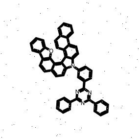 c1ccc(-c2nc(-c3ccccc3)nc(-c3cccc(-n4c5ccc6c7ccccc7ccc6c5c5c6c(ccc7c8ccccc8oc76)ccc54)c3)n2)cc1